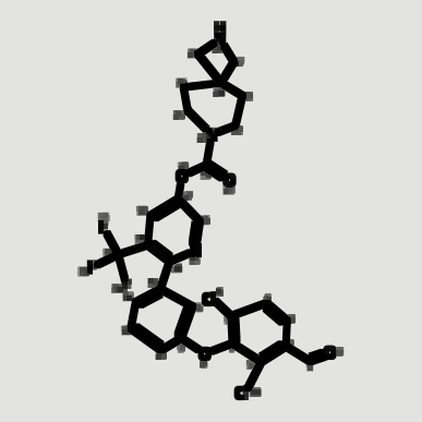 O=Cc1ccc(Cl)c(Oc2cccc(-c3ncc(OC(=O)N4CCC5(CC4)CNC5)cc3C(F)(F)F)c2)c1Cl